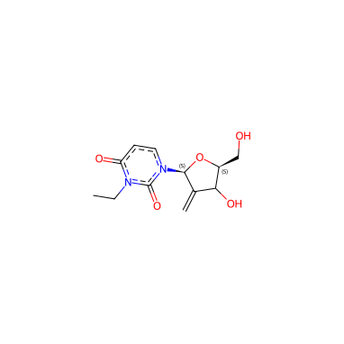 C=C1C(O)[C@H](CO)O[C@@H]1n1ccc(=O)n(CC)c1=O